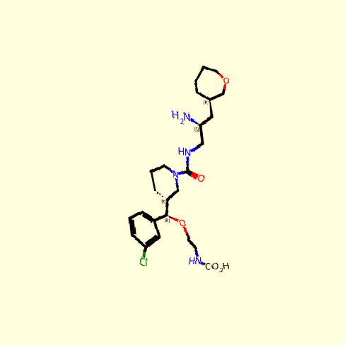 N[C@H](CNC(=O)N1CCC[C@@H]([C@@H](OCCNC(=O)O)c2cccc(Cl)c2)C1)C[C@H]1CCCCOC1